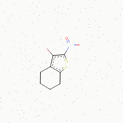 O=[N+]([O-])c1sc2c(c1Br)CCCC2